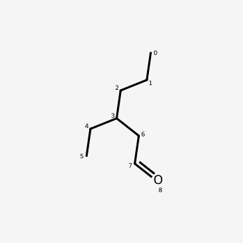 CCCC(CC)CC=O